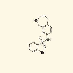 O=S(=O)(Nc1ccc2c(c1)CNCCC2)c1ccccc1Br